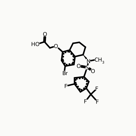 CN([C@@H]1CCCc2c(OCC(=O)O)cc(Br)cc21)S(=O)(=O)c1cc(F)cc(C(F)(F)F)c1